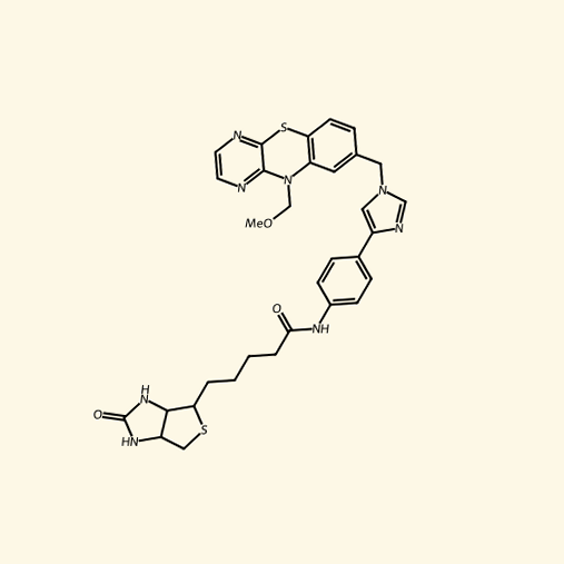 COCN1c2cc(Cn3cnc(-c4ccc(NC(=O)CCCCC5SCC6NC(=O)NC65)cc4)c3)ccc2Sc2nccnc21